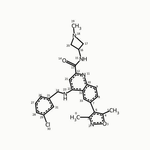 Cc1noc(C)c1-c1ccc2nc(C(=O)NC3CN(C)C3)cc(NCc3cccc(Cl)c3)c2c1